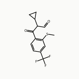 CSc1cc(C(F)(F)F)ccc1C(=O)C(C=O)C1CC1